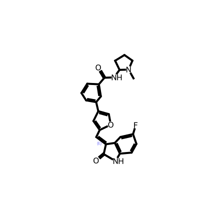 CN1CCCC1NC(=O)c1cccc(-c2coc(/C=C3/C(=O)Nc4ccc(F)cc43)c2)c1